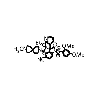 CCOc1ncccc1[C@@]1(NC(=O)N2CCC3(CCN(C)CC3)CC2)C(=O)N(S(=O)(=O)c2ccc(OC)cc2OC)c2ccc(C#N)cc21